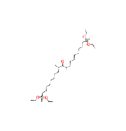 CCO[Si](C)(CCCCCCCCC(C)C(=O)C(C)CCCCCCCC[Si](C)(OCC)OCC)OCC